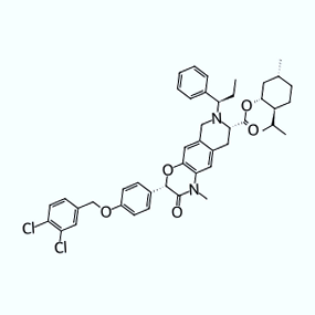 CC[C@H](c1ccccc1)N1Cc2cc3c(cc2C[C@H]1C(=O)O[C@@H]1C[C@H](C)CC[C@H]1C(C)C)N(C)C(=O)[C@H](c1ccc(OCc2ccc(Cl)c(Cl)c2)cc1)O3